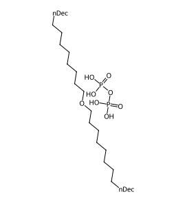 CCCCCCCCCCCCCCCCCCOCCCCCCCCCCCCCCCCCC.O=P(O)(O)OP(=O)(O)O